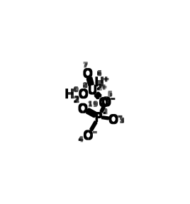 O.O=P([O-])([O-])[O-].[H+].[O]=[U+2]=[O]